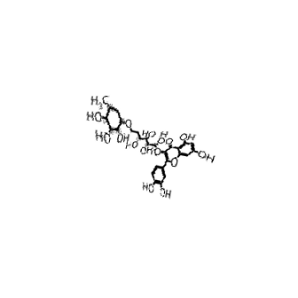 C[C@@H]1C[C@@H](OCC[C@@H](O)[C@@H](O)[C@@H](O)[C@@H](O)Oc2c(-c3ccc(O)c(O)c3)oc3cc(O)cc(O)c3c2=O)[C@H](O)[C@@H](O)[C@H]1O